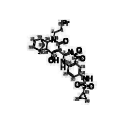 CC(C)CCN1C(=O)C(C2=NS(=O)(=O)c3cc(NS(=O)(=O)C4CC4)ccc3N2)=C(O)C2C3C=CC(C3)C21